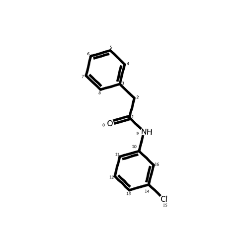 O=C(Cc1ccccc1)Nc1cccc(Cl)c1